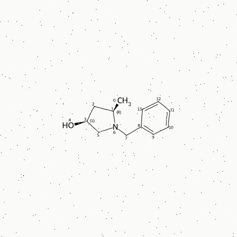 C[C@@H]1C[C@H](O)CN1Cc1ccccc1